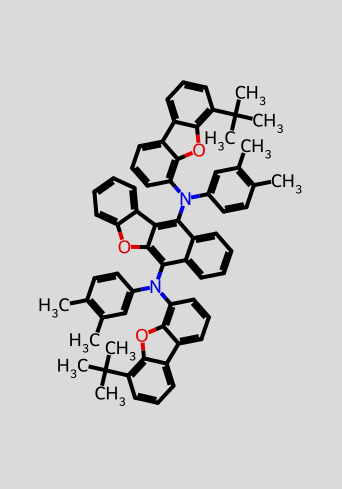 Cc1ccc(N(c2cccc3c2oc2c(C(C)(C)C)cccc23)c2c3ccccc3c(N(c3ccc(C)c(C)c3)c3cccc4c3oc3c(C(C)(C)C)cccc34)c3c2oc2ccccc23)cc1C